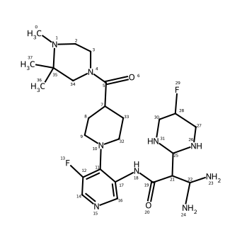 CN1CCN(C(=O)C2CCN(c3c(F)cncc3NC(=O)C(C(N)N)C3NCC(F)CN3)CC2)CC1(C)C